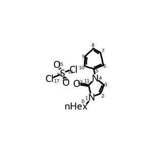 CCCCCCn1ccn(-c2ccccc2)c1=O.O=S(=O)(Cl)Cl